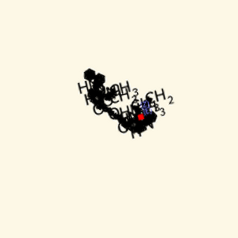 C=C/C=C\C=C(/C)c1cccc2nc([C@@H]3CC[C@@H]4CCN(C(=O)CCCCOCCCCC(=O)N5CC[C@H]6CC[C@@H](c7nc8cccc(-c9ccccc9)c8[nH]7)N6C(=O)[C@@H](NC(=O)[C@H](C)NC)C5)C[C@H](NC(=O)[C@H](C)NC)C(=O)N43)[nH]c12